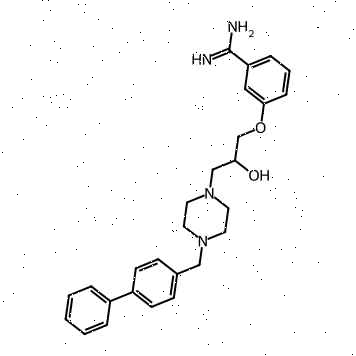 N=C(N)c1cccc(OCC(O)CN2CCN(Cc3ccc(-c4ccccc4)cc3)CC2)c1